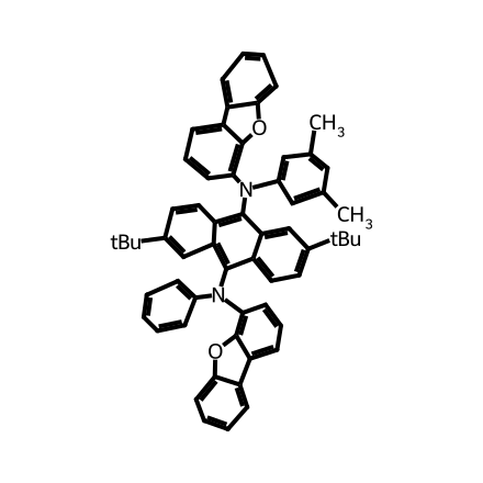 Cc1cc(C)cc(N(c2c3ccc(C(C)(C)C)cc3c(N(c3ccccc3)c3cccc4c3oc3ccccc34)c3ccc(C(C)(C)C)cc23)c2cccc3c2oc2ccccc23)c1